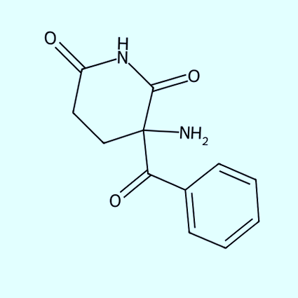 NC1(C(=O)c2ccccc2)CCC(=O)NC1=O